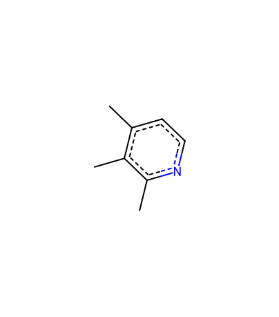 Cc1ccnc(C)c1C